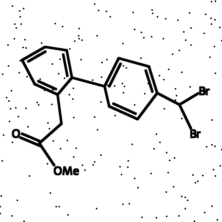 COC(=O)Cc1ccccc1-c1ccc(C(Br)Br)cc1